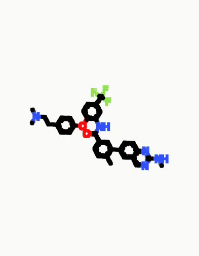 CNc1ncc2cc(-c3cc(C(=O)Nc4cc(C(F)(F)F)ccc4Oc4ccc(CCN(C)C)cc4)ccc3C)ccc2n1